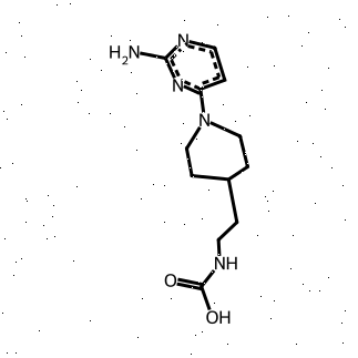 Nc1nccc(N2CCC(CCNC(=O)O)CC2)n1